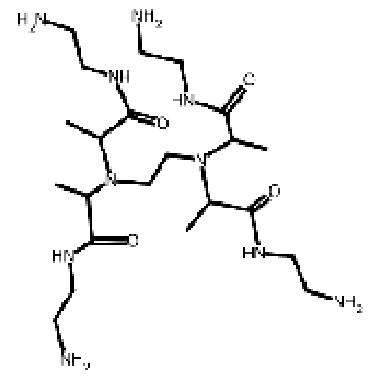 CC(C(=O)NCCN)N(CCN(C(C)C(=O)NCCN)C(C)C(=O)NCCN)C(C)C(=O)NCCN